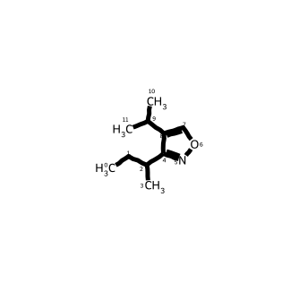 CCC(C)c1nocc1C(C)C